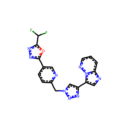 FC(F)c1nnc(-c2ccc(Cn3cc(-c4cnc5cccnn45)nn3)nc2)o1